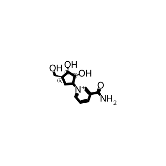 NC(=O)c1ccc[n+](C2C[C@@H](CO)[C@H](O)[C@@H]2O)c1